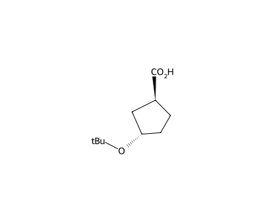 CC(C)(C)O[C@H]1CC[C@H](C(=O)O)C1